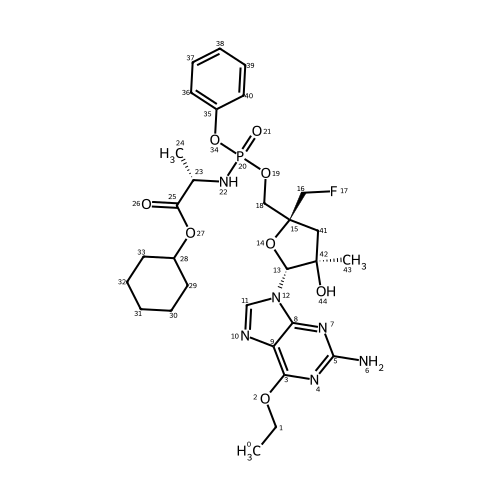 CCOc1nc(N)nc2c1ncn2[C@@H]1O[C@](CF)(COP(=O)(N[C@@H](C)C(=O)OC2CCCCC2)Oc2ccccc2)C[C@@]1(C)O